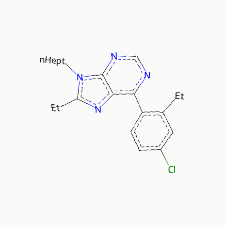 CCCCCCCn1c(CC)nc2c(-c3ccc(Cl)cc3CC)ncnc21